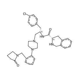 O=C(N[C@@H](Cc1ccc(Cl)cc1)CN1CCN(c2ccccc2CN2CCCC2=O)CC1)[C@@H]1Cc2ccccc2CN1